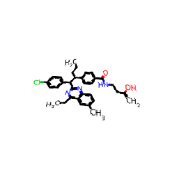 C=C(O)CCNC(=O)c1ccc(C(CCC)C(c2ccc(Cl)cc2)c2nc(CC)c3cc(C)ccc3n2)cc1